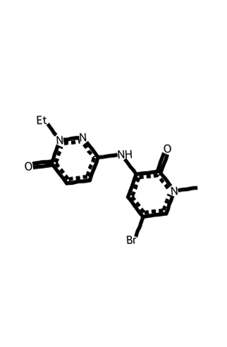 CCn1nc(Nc2cc(Br)cn(C)c2=O)ccc1=O